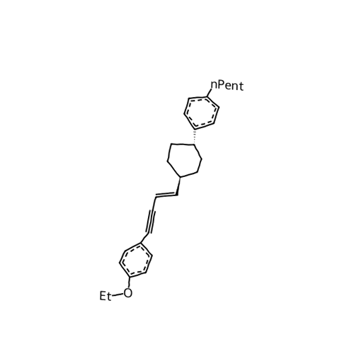 CCCCCc1ccc([C@H]2CC[C@H](/C=C/C#Cc3ccc(OCC)cc3)CC2)cc1